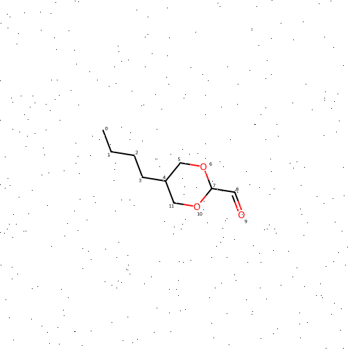 CCCCC1COC([C]=O)OC1